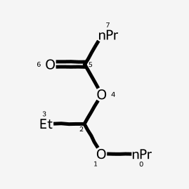 CCCOC(CC)OC(=O)CCC